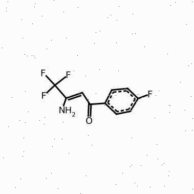 NC(=CC(=O)c1ccc(F)cc1)C(F)(F)F